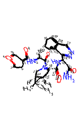 CC(C)(C)C(NC(=O)C1CCOC1)C(=O)N1C[C@H]2[C@@H]([C@H]1C(=O)NC(C(N)=O)c1nncc3ccccc13)C2(C)C